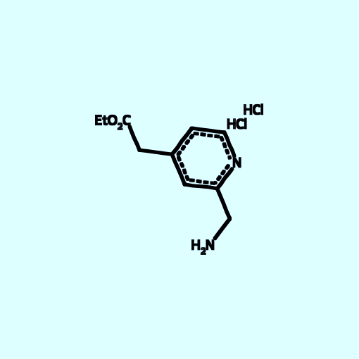 CCOC(=O)Cc1ccnc(CN)c1.Cl.Cl